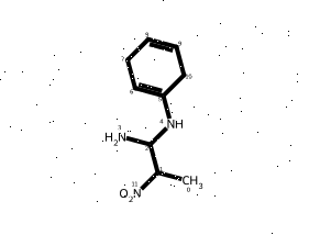 CC(C(N)NC1=CCC=CC1)[N+](=O)[O-]